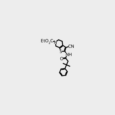 CCOC(=O)N1CCc2c(sc(NC(=O)CC(C)(C)c3ccccc3)c2C#N)C1